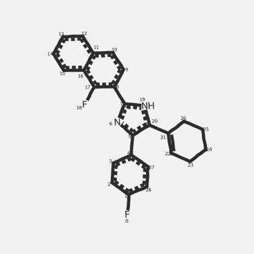 Fc1ccc(-c2nc(-c3ccc4ccccc4c3F)[nH]c2C2=CCCCC2)cc1